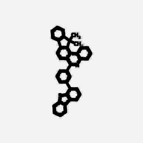 CC1(C)c2ccccc2-c2ccc3c(-c4cccc(-c5cccc6c5sc5ccccc56)c4)nc4ccccc4c3c21